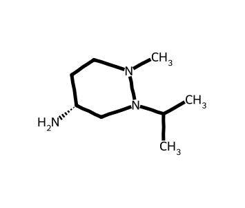 CC(C)N1C[C@H](N)CCN1C